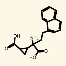 NC(CCc1cccc2ccccc12)(C(=O)O)C1CC1C(=O)O